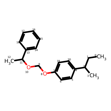 CCC(C)c1ccc(OCOC(C)c2ccccc2)cc1